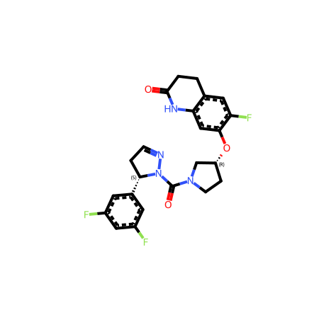 O=C1CCc2cc(F)c(O[C@@H]3CCN(C(=O)N4N=CC[C@H]4c4cc(F)cc(F)c4)C3)cc2N1